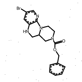 O=C(OCc1ccccc1)N1CCN2c3ncc(Br)cc3NCC2C1